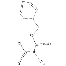 CN(C(=O)Cl)C(=O)OCc1ccccc1